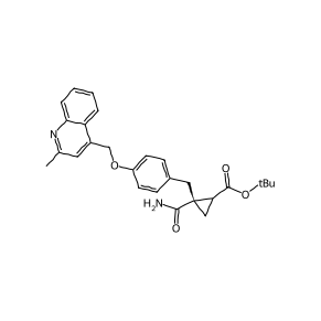 Cc1cc(COc2ccc(C[C@]3(C(N)=O)CC3C(=O)OC(C)(C)C)cc2)c2ccccc2n1